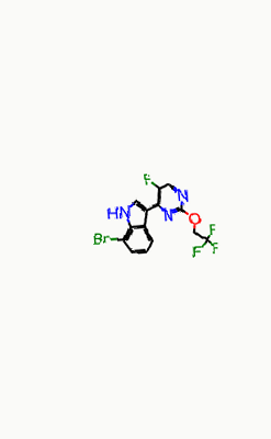 Fc1cnc(OCC(F)(F)F)nc1-c1c[nH]c2c(Br)cccc12